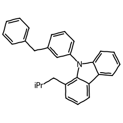 CC(C)Cc1cccc2c3ccccc3n(-c3cccc(Cc4ccccc4)c3)c12